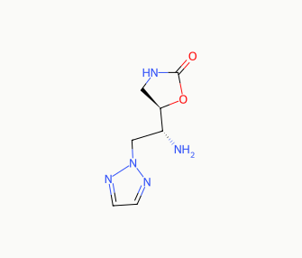 N[C@H](Cn1nccn1)[C@H]1CNC(=O)O1